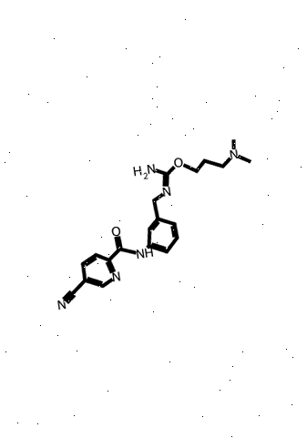 CN(C)CCCO/C(N)=N/Cc1cccc(NC(=O)c2ccc(C#N)cn2)c1